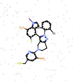 CCc1cccc(CC)c1-n1nc2c(c1-c1c(F)cc(P)c3c1ccn3I)CN(c1ncc(CS)cc1P)CC2